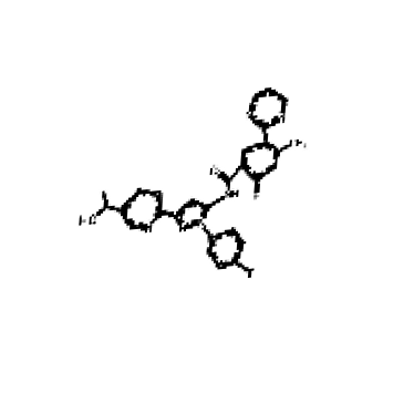 CC(O)c1ccc(-c2cc(NC(=O)c3cc(-c4ncccn4)c(C(F)(F)F)cc3F)n(-c3ccc(F)cc3)n2)nc1